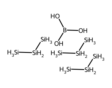 OB(O)O.[SiH3][SiH2][SiH3].[SiH3][SiH2][SiH3].[SiH3][SiH2][SiH3]